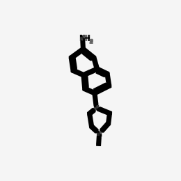 CN1CCN(c2ccc3cc(N)ccc3c2)CC1